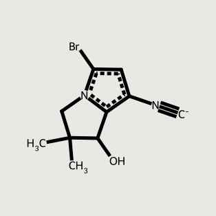 [C-]#[N+]c1cc(Br)n2c1C(O)C(C)(C)C2